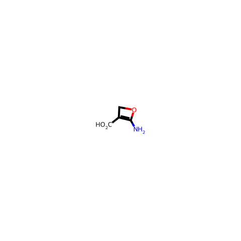 NC1=C(C(=O)O)CO1